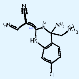 N#C/C(C=N)=C1/Nc2cc(Cl)ccc2C(N)(CN)N1